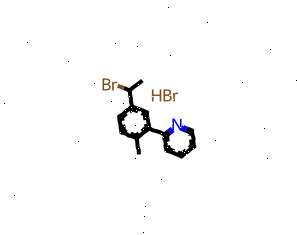 Br.Cc1ccc(C(C)Br)cc1-c1ccccn1